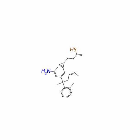 C=C(S)CCC1C=C1C=C(/C=C(\C)N)C(C)(C/C=C\C)c1ccccc1C